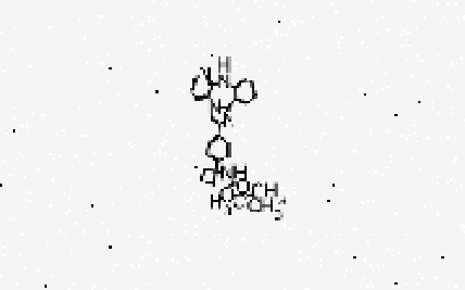 CC(C)(C)OC(=O)NC1(c2ccc(-c3cn4c(n3)-c3ccccc3Nc3ncccc3-4)cc2)CCC1